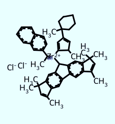 CC1=CC(C)(C)c2cc3c(cc21)-c1cc2c(cc1[CH]3/[Zr+2]([C]1=CC(C3(C)CCCCC3)=CC1C)=[C](\C)c1ccc3ccccc3c1)C(C)(C)C=C2C.[Cl-].[Cl-]